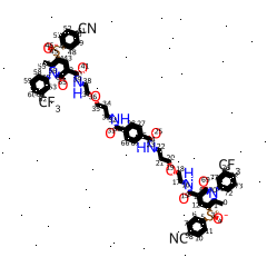 Cc1c([S+]([O-])c2ccc(C#N)cc2)cc(C(=O)NCCOCCCNC(=O)c2ccc(C(=O)NCCCOCCNC(=O)c3cc([S+]([O-])c4ccc(C#N)cc4)c(C)n(-c4cccc(C(F)(F)F)c4)c3=O)cc2)c(=O)n1-c1cccc(C(F)(F)F)c1